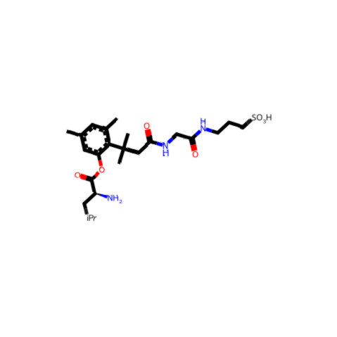 Cc1cc(C)c(C(C)(C)CC(=O)NCC(=O)NCCCS(=O)(=O)O)c(OC(=O)[C@@H](N)CC(C)C)c1